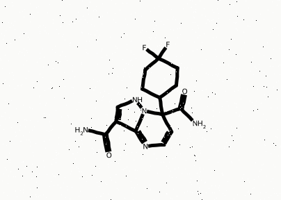 NC(=O)C1=CNN2C1=NC=CC2(C(N)=O)C1CCC(F)(F)CC1